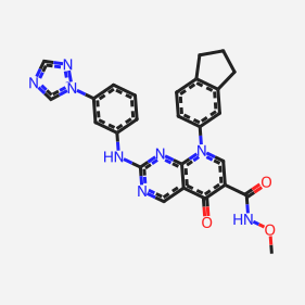 CONC(=O)c1cn(-c2ccc3c(c2)CCC3)c2nc(Nc3cccc(-n4cncn4)c3)ncc2c1=O